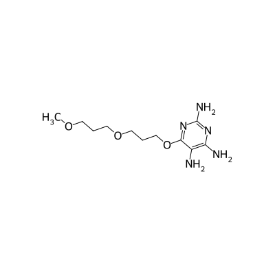 COCCCOCCCOc1nc(N)nc(N)c1N